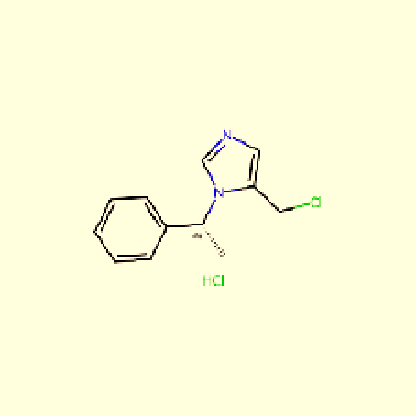 C[C@H](c1ccccc1)n1cncc1CCl.Cl